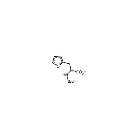 CC(C)(C)NN(Cc1ccco1)C(=O)O